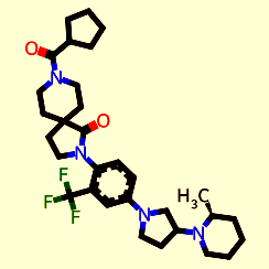 C[C@H]1CCCCN1C1CCN(c2ccc(N3CCC4(CCN(C(=O)C5CCCC5)CC4)C3=O)c(C(F)(F)F)c2)C1